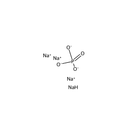 O=P([O-])([O-])[O-].[Na+].[Na+].[Na+].[NaH]